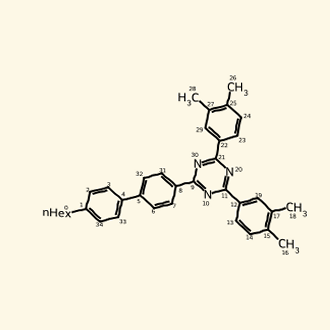 CCCCCCc1ccc(-c2ccc(-c3nc(-c4ccc(C)c(C)c4)nc(-c4ccc(C)c(C)c4)n3)cc2)cc1